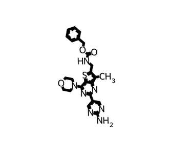 Cc1c(CNC(=O)OCc2ccccc2)sc2c(N3CCOCC3)nc(-c3cnc(N)nc3)nc12